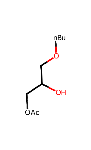 CCCCOCC(O)COC(C)=O